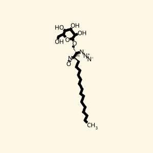 CCCCCCCCCCCCCCC[C@@H](N=O)[C@H](COC1OC(CO)C(O)C(O)C1O)N=[N+]=[N-]